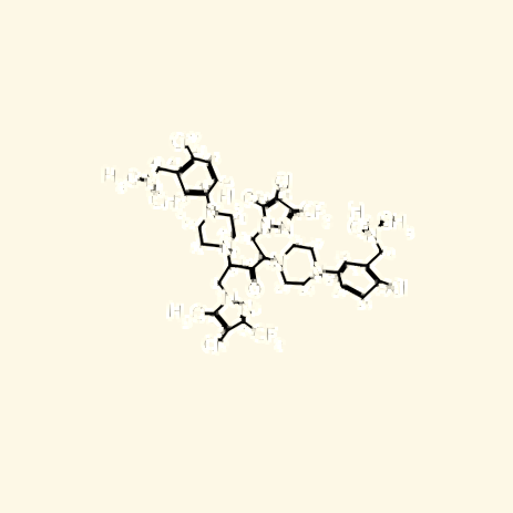 Cc1c(Cl)c(C(F)(F)F)nn1CC(C(=O)C(Cn1nc(C(F)(F)F)c(Cl)c1C)N1CCN(c2ccc(Cl)c(CN(C)C)c2)CC1)N1CCN(c2ccc(Cl)c(CN(C)C)c2)CC1